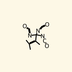 CC(C)=C(C)C(N=C=O)(N=C=O)N=C=O